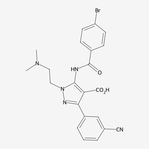 CN(C)CCn1nc(-c2cccc(C#N)c2)c(C(=O)O)c1NC(=O)c1ccc(Br)cc1